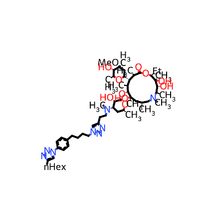 CCCCCCc1cn(-c2ccc(CCCCn3cc(CCN(C)[C@H]4C[C@@H](C)O[C@@H](O[C@@H]5[C@@H](C)[C@H](C6C[C@@](C)(OC)[C@@H](O)[C@H](C)O6)[C@@H](C)C(=O)O[C@H](CC)[C@@](C)(O)[C@H](O)[C@@H](C)N(C)C[C@H](C)C[C@@]5(C)O)[C@@H]4O)nn3)cc2)nn1